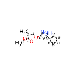 COC(=O)C(C)COc1cc(-c2ccccc2)[nH]n1